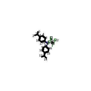 CC(C)c1ccc([I+]c2ccc(C(C)C)cc2)cc1.F[B-](F)(F)F